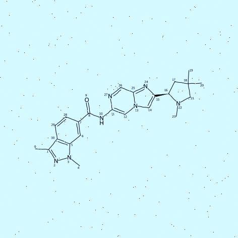 Cc1nn(C)c2cc(C(=O)Nc3cn4cc([C@H]5CC(C)(C)CN5C)nc4cn3)ccc12